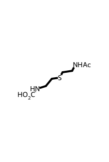 CC(=O)NCCSCCNC(=O)O